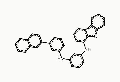 c1cc(Nc2cccc(-c3ccc4ccccc4c3)c2)cc(Nc2cccc3c2oc2ccccc23)c1